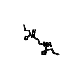 CCCC(=O)NCCCNC(=O)CCC